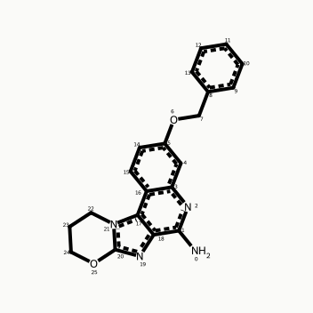 Nc1nc2cc(OCc3ccccc3)ccc2c2c1nc1n2CCCO1